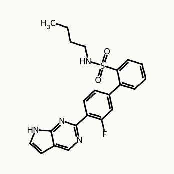 CCCCNS(=O)(=O)c1ccccc1-c1ccc(-c2ncc3cc[nH]c3n2)c(F)c1